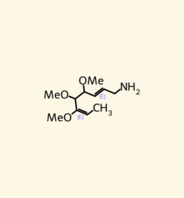 C/C=C(/OC)C(OC)C(/C=C/CN)OC